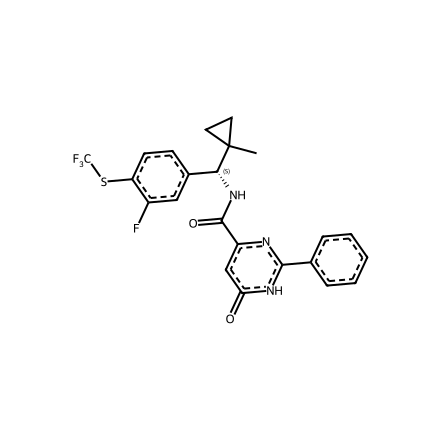 CC1([C@H](NC(=O)c2cc(=O)[nH]c(-c3ccccc3)n2)c2ccc(SC(F)(F)F)c(F)c2)CC1